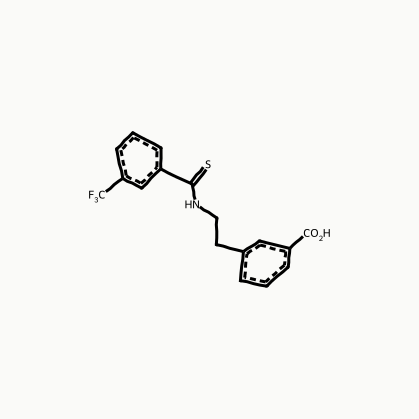 O=C(O)c1cccc(CCNC(=S)c2cccc(C(F)(F)F)c2)c1